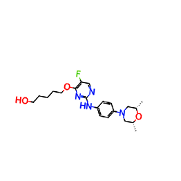 C[C@@H]1CN(c2ccc(Nc3ncc(F)c(OCCCCCO)n3)cc2)C[C@H](C)O1